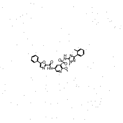 COc1ncc(NC(=O)c2ncc(-c3ccccc3)o2)cc1S(=O)(=O)Nc1nc(-c2ccccc2C)nn1C